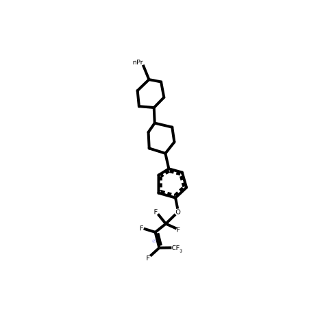 CCCC1CCC(C2CCC(c3ccc(OC(F)(F)/C(F)=C(/F)C(F)(F)F)cc3)CC2)CC1